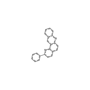 c1ccc(-c2ccc3ccc4nc5ccccc5cc4c3n2)cc1